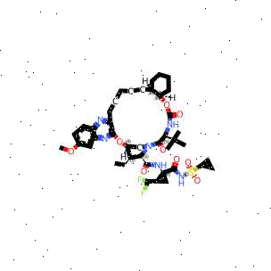 CC[C@@H]1[C@@H]2CN(C(=O)[C@H](C(C)(C)C)NC(=O)O[C@@H]3CCCC[C@H]3CCCCCc3nc4ccc(OC)cc4nc3O2)[C@@H]1C(=O)N[C@]1(C(=O)NS(=O)(=O)C2CC2)CC1C(F)F